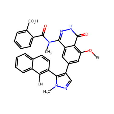 CCOc1cc(-c2cnn(C)c2-c2ccc3ccccc3c2C#N)cc2c(N(C)C(=O)c3ccccc3C(=O)O)n[nH]c(=O)c12